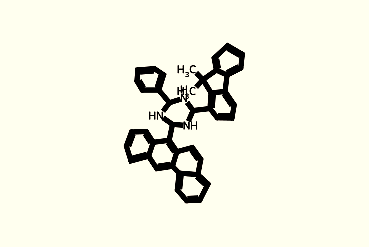 CC1(C)c2ccccc2-c2cccc(C3NC(c4ccccc4)NC(c4c5ccccc5cc5c4ccc4ccccc45)N3)c21